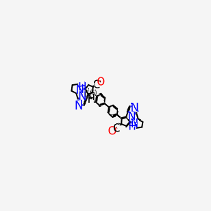 O=C=C1C[C]2C(c3cnc([nH]3)C3CCCN23)C1c1ccc(-c2ccc([C@H]3C(=C=O)C[C]4[C@H]3c3cnc([nH]3)C3CCCN43)cc2)cc1